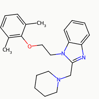 Cc1cccc(C)c1OCCn1c(CN2CCCCC2)nc2ccccc21